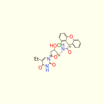 CCc1cn([C@@H]2CC(O)[C@H](CNC(=O)[C@H]3c4ccccc4Oc4cccc(Cl)c43)O2)c(=O)[nH]c1=O